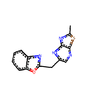 Cc1nc2nc(Cc3nc4ccccc4o3)cnc2s1